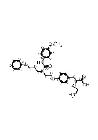 CCOC(Cc1ccc(OCCN(CCCSc2ccccc2)C(=O)Nc2ccc(OC)cc2)cc1)C(=O)O